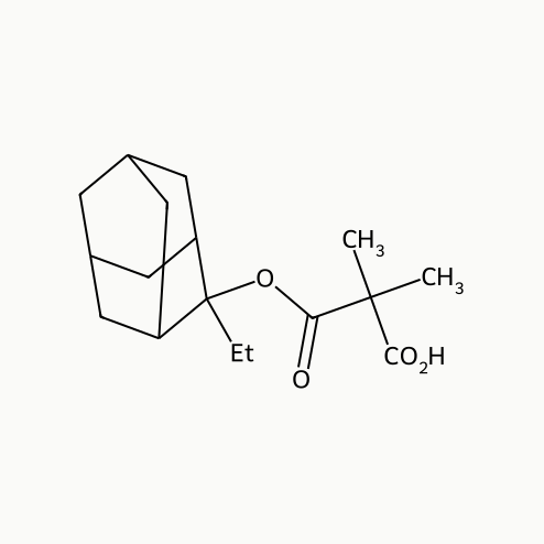 CCC1(OC(=O)C(C)(C)C(=O)O)C2CC3CC(C2)CC1C3